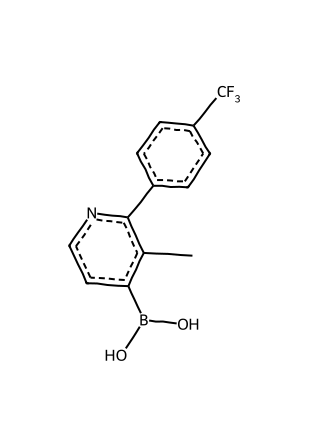 Cc1c(B(O)O)ccnc1-c1ccc(C(F)(F)F)cc1